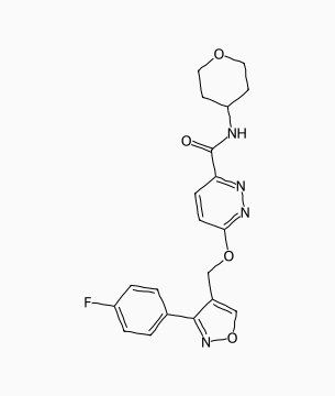 O=C(NC1CCOCC1)c1ccc(OCc2conc2-c2ccc(F)cc2)nn1